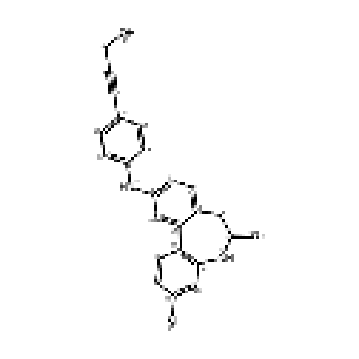 O=C1Cc2cnc(Nc3ccc(C#CCO)cc3)nc2-c2ccc(Cl)cc2N1